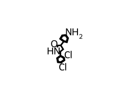 Nc1ccc(C2CC(c3ccc(Cl)cc3Cl)NC2=O)cc1